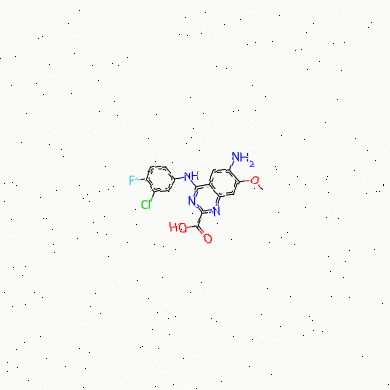 COc1cc2nc(C(=O)O)nc(Nc3ccc(F)c(Cl)c3)c2cc1N